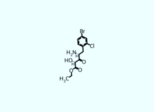 CCOC(=O)[C@H](O)C(=O)[C@H](N)Cc1ccc(Br)cc1Cl